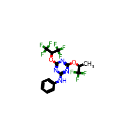 CC(Oc1nc(Nc2ccccc2)nc(OC(C(F)(F)F)C(F)(F)F)n1)C(F)(F)F